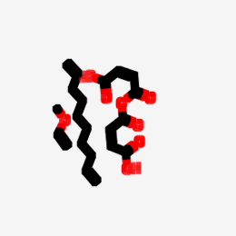 C=CCCCCCCC=C.C=COC.O=C(O)/C=C\C(=O)OC(=O)/C=C\C(=O)O